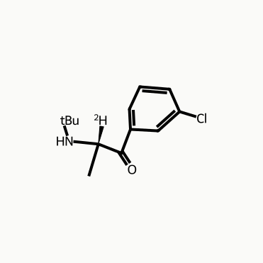 [2H][C@@](C)(NC(C)(C)C)C(=O)c1cccc(Cl)c1